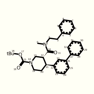 CN(CCc1ccccc1)C(=O)[C@H]1CN(C(=O)OC(C)(C)C)CC[C@@H]1c1cccc(-c2ccccc2)c1